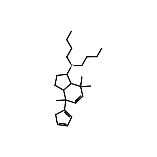 CCC[CH2][Ti]([CH2]CCC)[CH]1CCC2C1C(C)(C)C=CC2(C)C1=CC=CC1